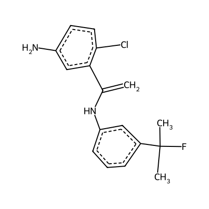 C=C(Nc1cccc(C(C)(C)F)c1)c1cc(N)ccc1Cl